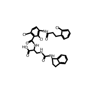 O=C(CCc1ccccc1Cl)Nc1ccc(Cl)c(C(=O)NC(CNC(=O)N[C@@H]2CCc3ccccc32)C(=O)O)c1Cl